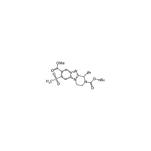 CCCCOC(=O)N1CCn2c(nc3cc(C(=O)OC)c(S(C)(=O)=O)cc32)C1C(C)C